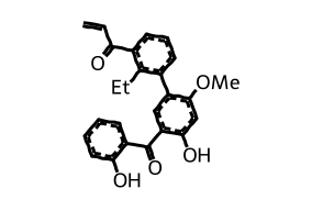 C=CC(=O)c1cccc(-c2cc(C(=O)c3ccccc3O)c(O)cc2OC)c1CC